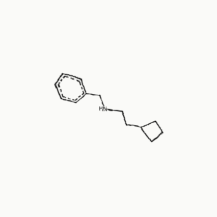 c1ccc(CNCCC2CCC2)cc1